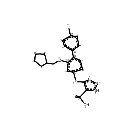 O=C(O)c1[nH]nnc1Sc1ccc(-c2ccc(Cl)cc2)c(OCC2CCCC2)c1